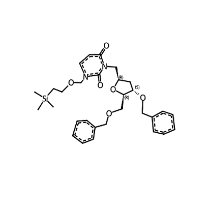 C[Si](C)(C)CCOCn1ccc(=O)n(C[C@H]2C[C@H](OCc3ccccc3)[C@@H](COCc3ccccc3)O2)c1=O